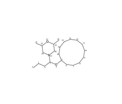 CCCC(OC1CCCCCCCCCCC1)N1CC(C)OC(C)C1